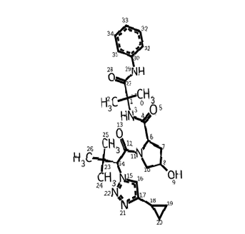 CC(C)(NC(=O)C1CC(O)CN1C(=O)[C@@H](n1cc(C2CC2)nn1)C(C)(C)C)C(=O)Nc1ccccc1